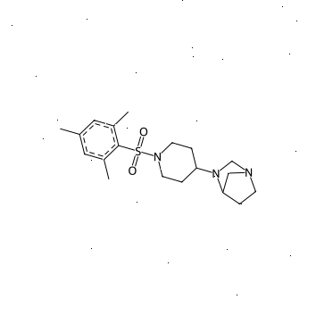 Cc1cc(C)c(S(=O)(=O)N2CCC(N3CN4CCC3C4)CC2)c(C)c1